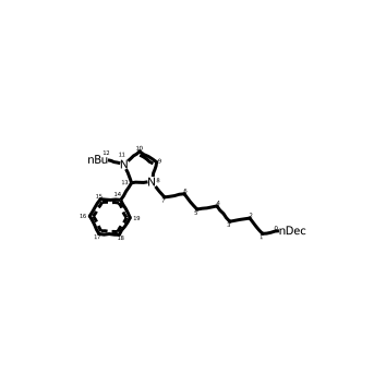 CCCCCCCCCCCCCCCCCN1C=CN(CCCC)C1c1ccccc1